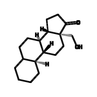 O=C1CC[C@H]2[C@@H]3CCC4CCCC[C@@H]4[C@H]3CC[C@]12CO